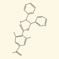 C=C(C)c1cc(C)c(S(=O)OC(c2ccccc2)C(F)c2ccccc2)c(C)c1